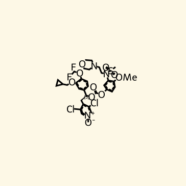 COc1ccc(OC(=O)O[C@@H](Cc2c(Cl)c[n+]([O-])cc2Cl)c2ccc(OC(F)F)c(OCC3CC3)c2)cc1N(CCN1CCOCC1)S(C)(=O)=O